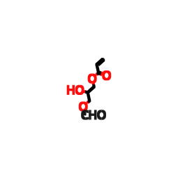 C=CC(=O)OCC(O)COC=O